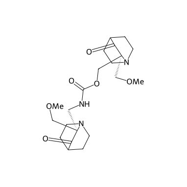 COC[C@]1(COC(=O)NC[C@@]2(COC)C(=O)C3CCN2CC3)C(=O)C2CCN1CC2